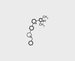 Cc1cc(-c2cccc(-c3ccc(C4CCCN(Cc5ccccc5)C4)cc3)n2)c(C)[nH]1